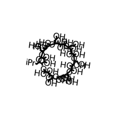 CC(C)CC1OC2OC(CCO)/C(O)=C(/O)C(O)OC(CCO)/C(O)=C(\O)C(O)OC(CCO)/C(O)=C(\O)C(O)OC(CCO)/C(O)=C(\O)C(O)OC(CCO)/C(O)=C(/O)C(O)OC(CCO)/C(O)=C(\O)C(O)OC1C(O)C2O